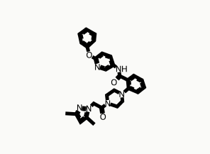 Cc1cc(C)n(CC(=O)N2CCN(c3ccccc3C(=O)Nc3ccc(Oc4ccccc4)nc3)CC2)n1